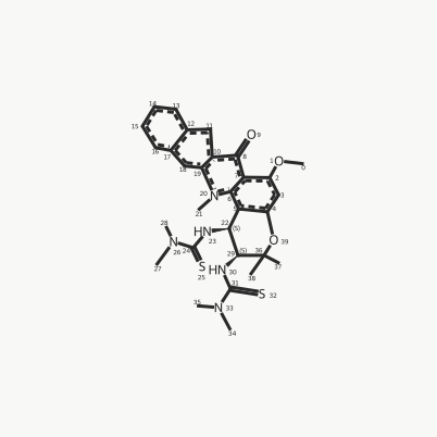 COc1cc2c(c3c1c(=O)c1cc4ccccc4cc1n3C)[C@H](NC(=S)N(C)C)[C@H](NC(=S)N(C)C)C(C)(C)O2